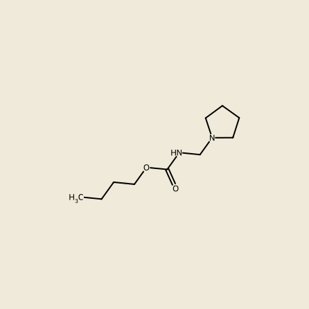 CCCCOC(=O)NCN1CCCC1